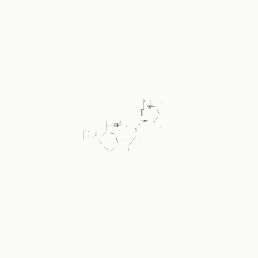 CCCC/C(=C/c1ccc(F)cc1)C(O)c1cccnc1